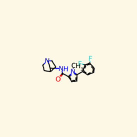 Cn1c(C(=O)NC2CN3CCC2CC3)ccc1-c1cccc(F)c1F